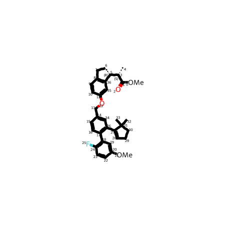 COC(=O)[C@@H](C)[C@H]1CCc2ccc(OCc3ccc(-c4cc(OC)ccc4F)c(C4=CCCC4(C)C)c3)cc21